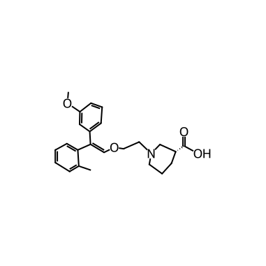 COc1cccc(/C(=C\OCCN2CCC[C@@H](C(=O)O)C2)c2ccccc2C)c1